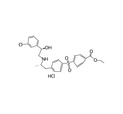 CCOC(=O)c1ccc(S(=O)(=O)c2ccc(C[C@H](C)NC[C@H](O)c3cccc(Cl)c3)cc2)cc1.Cl